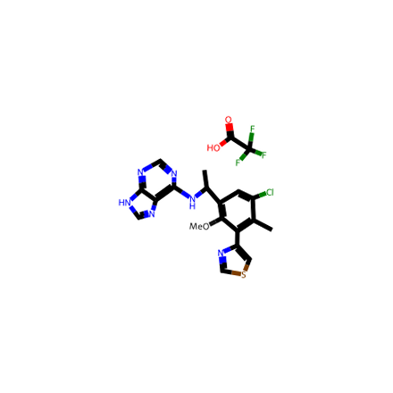 COc1c(C(C)Nc2ncnc3[nH]cnc23)cc(Cl)c(C)c1-c1cscn1.O=C(O)C(F)(F)F